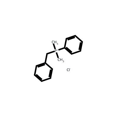 C[P+](C)(Cc1ccccc1)c1ccccc1.[Cl-]